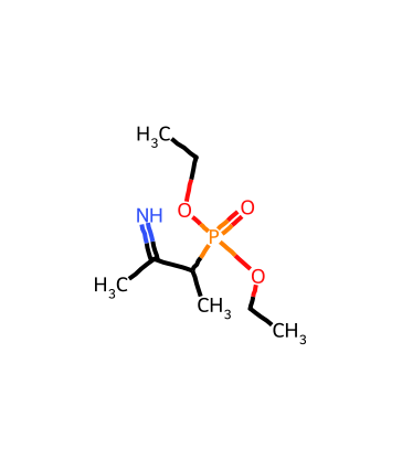 CCOP(=O)(OCC)C(C)C(C)=N